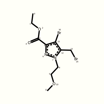 CCOC(=O)c1nn(CCOC)c(CBr)c1Br